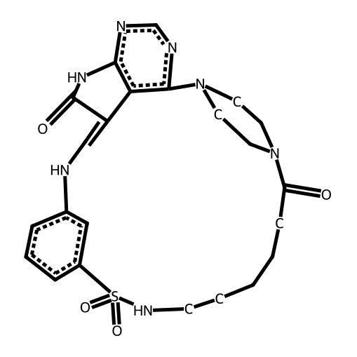 O=C1Nc2ncnc3c2/C1=C/Nc1cccc(c1)S(=O)(=O)NCCCCCC(=O)N1CCN3CC1